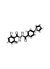 O=C(NNC(=O)c1c(F)cccc1F)c1ccc(-n2cccc2)cc1